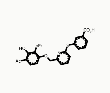 CCCc1c(OCc2cccc(Sc3cccc(C(=O)O)c3)n2)ccc(C(C)=O)c1O